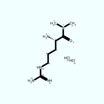 CN(C)C(=O)[C@@H](N)CCCNC(=N)N.Cl.Cl